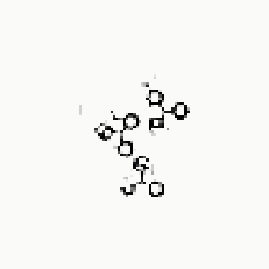 CCCc1ccccc1C(c1ccccc1)C1C(=O)C2CCN1CC2.O=C(O)c1ccc(C(c2ccccc2)C2C(=O)C3CCN2CC3)cc1.O=C1C2CCN(CC2)C1C(c1ccccc1)c1cccs1